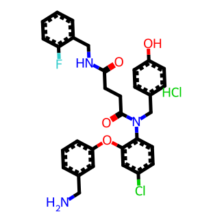 Cl.NCc1cccc(Oc2cc(Cl)ccc2N(Cc2ccc(O)cc2)C(=O)CCC(=O)NCc2ccccc2F)c1